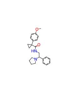 COc1ccc(C2(C(=O)NCC(c3ccccc3)N3CCCC3)CC2)cc1